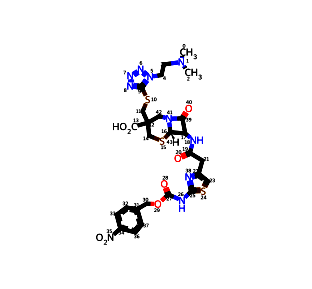 CN(C)CCn1nnnc1SCC1(C(=O)O)CS[C@@H]2C(NC(=O)Cc3csc(NC(=O)OCc4ccc([N+](=O)[O-])cc4)n3)C(=O)N2C1